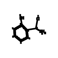 NC(Cl)c1ccccc1S